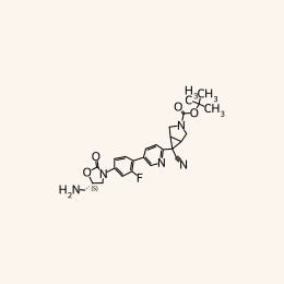 CC(C)(C)OC(=O)N1CC2C(C1)C2(C#N)c1ccc(-c2ccc(N3C[C@H](CN)OC3=O)cc2F)cn1